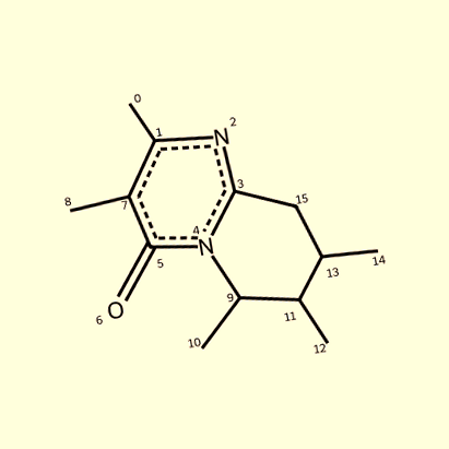 Cc1nc2n(c(=O)c1C)C(C)C(C)C(C)C2